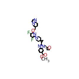 COC(=O)c1ccc2nc(C3CC34CCN(c3nc(OCc5ccc6nccn6c5)c(F)cc3F)CC4)n(C[C@@H]3CCO3)c2c1